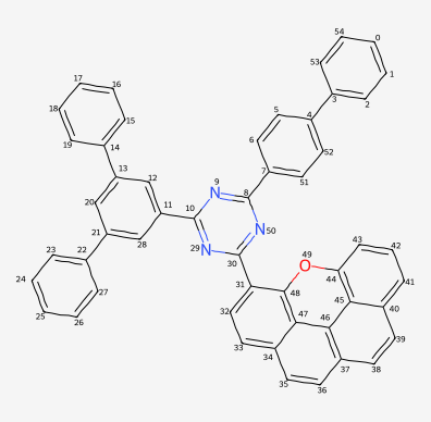 c1ccc(-c2ccc(-c3nc(-c4cc(-c5ccccc5)cc(-c5ccccc5)c4)nc(-c4ccc5ccc6ccc7cccc8c7c6c5c4O8)n3)cc2)cc1